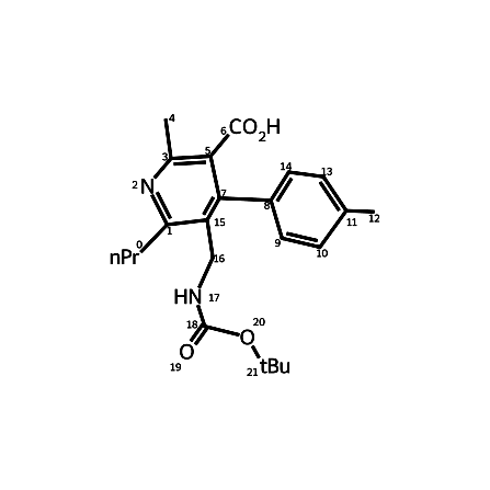 CCCc1nc(C)c(C(=O)O)c(-c2ccc(C)cc2)c1CNC(=O)OC(C)(C)C